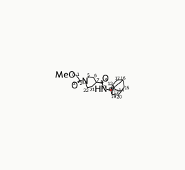 COCC(=O)N1CCC(C(=O)NC2C3CC4CC(C3)CC2C4)CC1